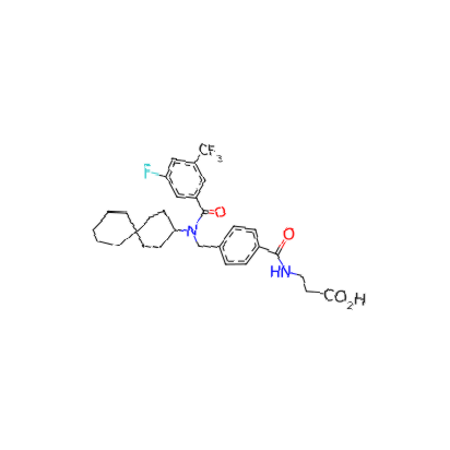 O=C(O)CCNC(=O)c1ccc(CN(C(=O)c2cc(F)cc(C(F)(F)F)c2)C2CCC3(CCCCC3)CC2)cc1